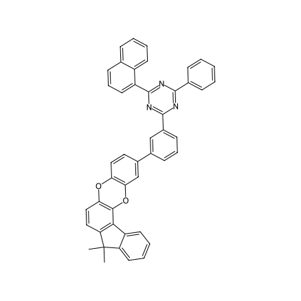 CC1(C)c2ccccc2-c2c1ccc1c2Oc2cc(-c3cccc(-c4nc(-c5ccccc5)nc(-c5cccc6ccccc56)n4)c3)ccc2O1